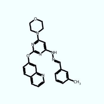 Cc1cccc(C=NNc2cc(N3CCOCC3)nc(Oc3ccc4cccnc4c3)n2)c1